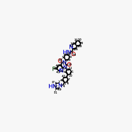 C[C@@H]1CN(Cc2ccc(-c3cccc(-n4c(=O)n(C5CCC(NC(=O)c6cc7ccccc7cn6)CC5)c(=O)c5cc(F)cnc54)c3)cc2)C[C@H](C)N1